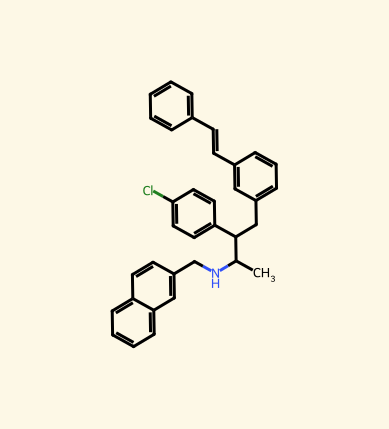 CC(NCc1ccc2ccccc2c1)C(Cc1cccc(C=Cc2ccccc2)c1)c1ccc(Cl)cc1